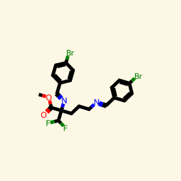 COC(=O)C(CCC/N=C/c1ccc(Br)cc1)(/N=C/c1ccc(Br)cc1)C(F)F